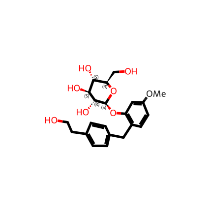 COc1ccc(Cc2ccc(CCO)cc2)c(O[C@@H]2O[C@H](CO)[C@@H](O)[C@H](O)[C@H]2O)c1